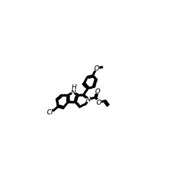 C=COC(=O)N1CCc2c([nH]c3ccc(Cl)cc23)C1c1ccc(OC)cc1